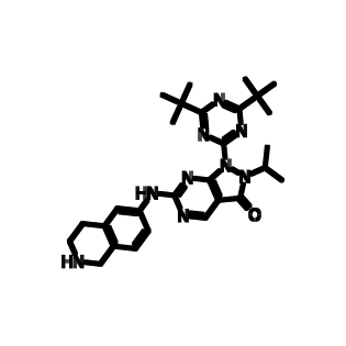 CC(C)n1c(=O)c2cnc(Nc3ccc4c(c3)CCNC4)nc2n1-c1nc(C(C)(C)C)nc(C(C)(C)C)n1